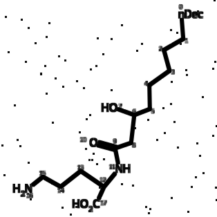 CCCCCCCCCCCCCCCC(O)CC(=O)NC(CCCN)C(=O)O